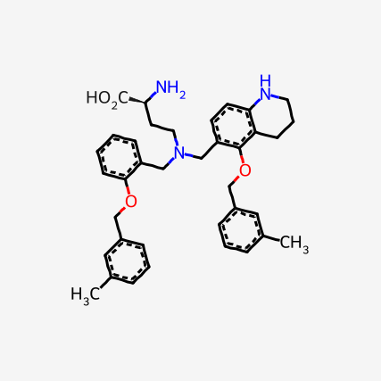 Cc1cccc(COc2ccccc2CN(CC[C@H](N)C(=O)O)Cc2ccc3c(c2OCc2cccc(C)c2)CCCN3)c1